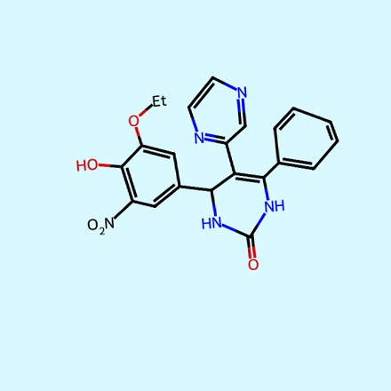 CCOc1cc(C2NC(=O)NC(c3ccccc3)=C2c2cnccn2)cc([N+](=O)[O-])c1O